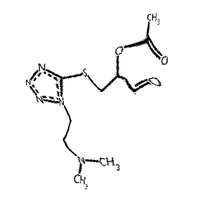 CC(=O)OC([C]=O)CSc1nnnn1CCN(C)C